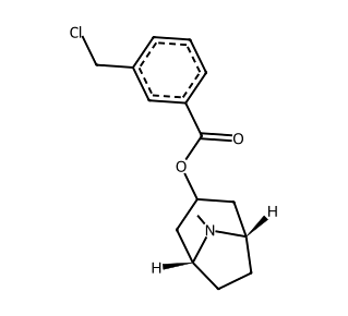 CN1[C@@H]2CC[C@H]1CC(OC(=O)c1cccc(CCl)c1)C2